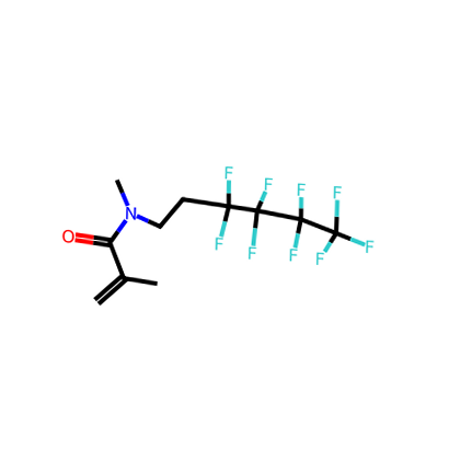 C=C(C)C(=O)N(C)CCC(F)(F)C(F)(F)C(F)(F)C(F)(F)F